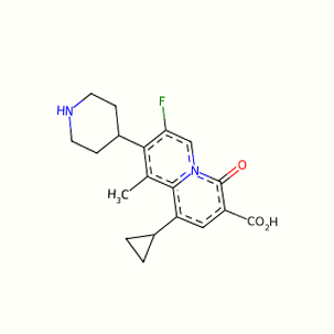 Cc1c(C2CCNCC2)c(F)cn2c(=O)c(C(=O)O)cc(C3CC3)c12